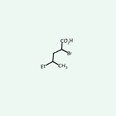 CCC(C)CC(Br)C(=O)O